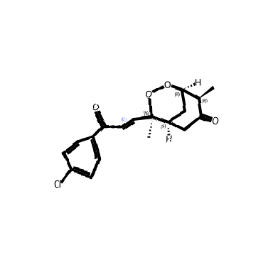 C[C@H]1C(=O)C[C@@H]2C[C@H]1OO[C@]2(C)/C=C/C(=O)c1ccc(Cl)cc1